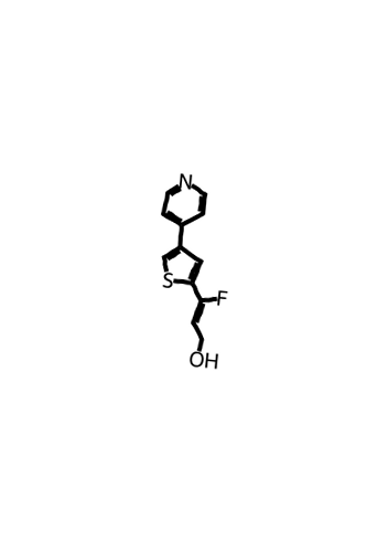 OC/C=C(\F)c1cc(-c2ccncc2)cs1